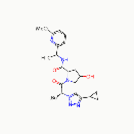 COc1cccc(C(C)NC(=O)C2CC(O)CN2C(=O)[C@@H](n2cc(C3CC3)nn2)C(C)(C)C)n1